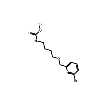 CC(C)(C)OC(=O)NCCCCOCc1cccc(Br)n1